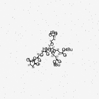 CC(C)(C)OC(=O)CCOCC(COCCC(=O)OC(C)(C)C)(COCCC(=O)OC(C)(C)C)NC(=O)COCC(=O)ON1C(=O)CCC1=O